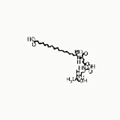 C[C@H](CO)NC(=O)CC[C@H](NC(=O)CC[C@H](NC(=O)CCCCCCCCCCCCCCCCC(=O)O)C(=O)O)C(=O)O